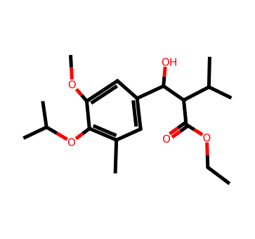 CCOC(=O)C(C(C)C)C(O)c1cc(C)c(OC(C)C)c(OC)c1